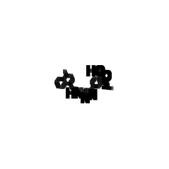 CCSc1cc(-c2cc(NCCc3ccc(C)c4ccccc34)ncn2)ccc1C(=O)O